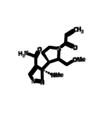 C=CC(=O)N1CC[C@H]([C@@]2(NC)N=NC=C2C(N)=O)C1COC